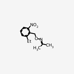 CCc1cccc([N+](=O)[O-])c1CON=C(C)C